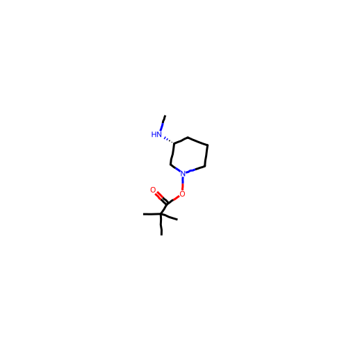 CN[C@@H]1CCCN(OC(=O)C(C)(C)C)C1